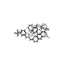 Cc1nc2c(c(C3=CC(F)=C4OCCC[C@@H]4C3C)c1[C@H](OC(C)(C)C)C(=O)O)CN(CCCc1cccc(C(F)(F)F)c1)CC2